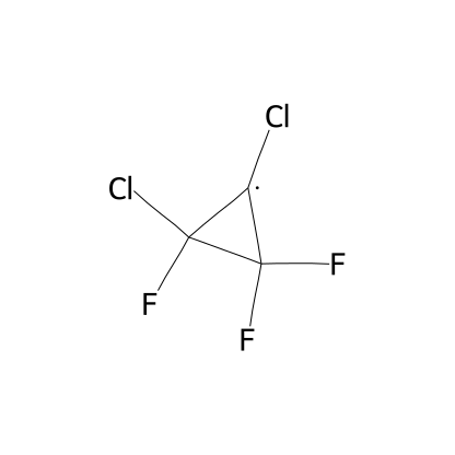 FC1(F)[C](Cl)C1(F)Cl